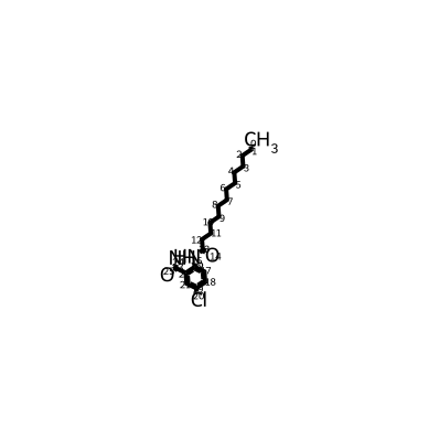 CCCCCCCCCCCCCC(=O)Nc1ccc(Cl)cc1C(N)=O